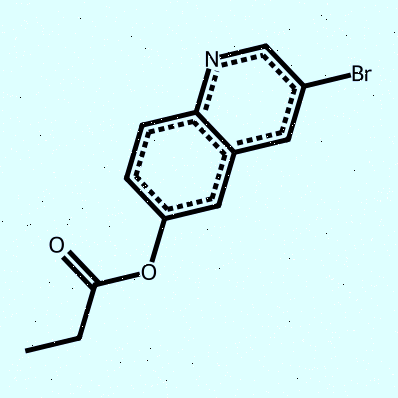 CCC(=O)Oc1ccc2ncc(Br)cc2c1